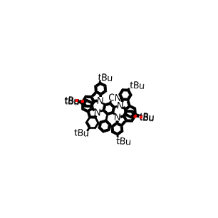 CC(C)(C)C1=Cc2c(n(-c3c(-c4ccccc4)c(-n4c5ccc(C(C)(C)C)cc5c5cc(C(C)(C)C)ccc54)c(-n4c5ccc(C(C)(C)C)cc5c5cc(C(C)(C)C)ccc54)c(C#N)c3-n3c4ccc(C(C)(C)C)cc4c4cc(C(C)(C)C)ccc43)c3ccc(C(C)(C)C)cc23)CC1